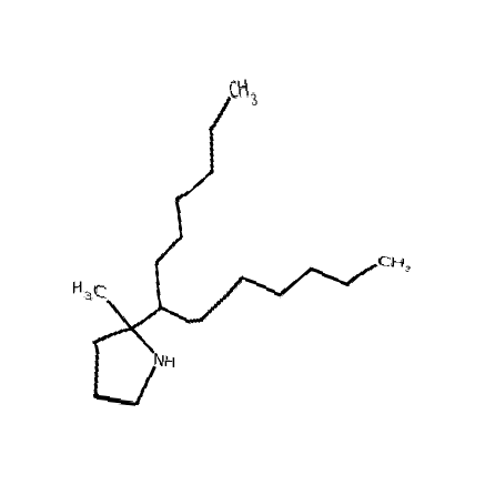 CCCCCCC(CCCCCC)C1(C)CCCN1